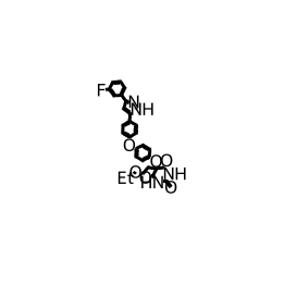 CCOCCC1(Oc2ccc(Oc3ccc(-c4cc(-c5cccc(F)c5)n[nH]4)cc3)cc2)C(=O)NC(=O)NC1=O